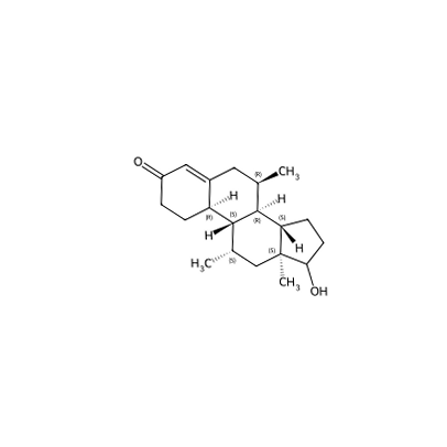 C[C@@H]1CC2=CC(=O)CC[C@@H]2[C@@H]2[C@@H]1[C@@H]1CCC(O)[C@@]1(C)C[C@@H]2C